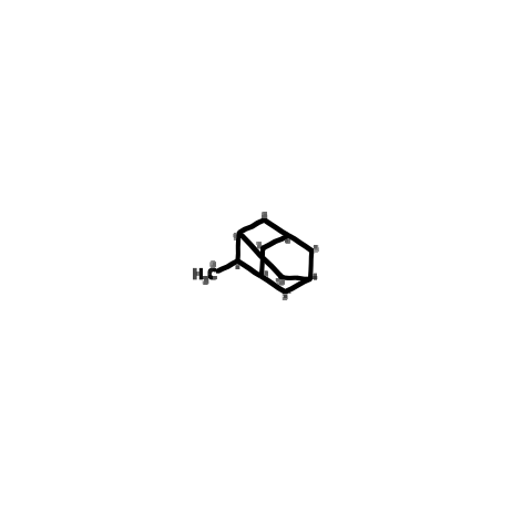 CC1C2[CH]C3CC(C2)CC1C3